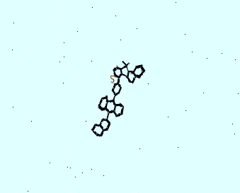 CC1(C)c2ccc3sc4cc(-c5c6ccccc6c(-c6ccc7ccccc7c6)c6ccccc56)ccc4c3c2-c2ccc3ccccc3c21